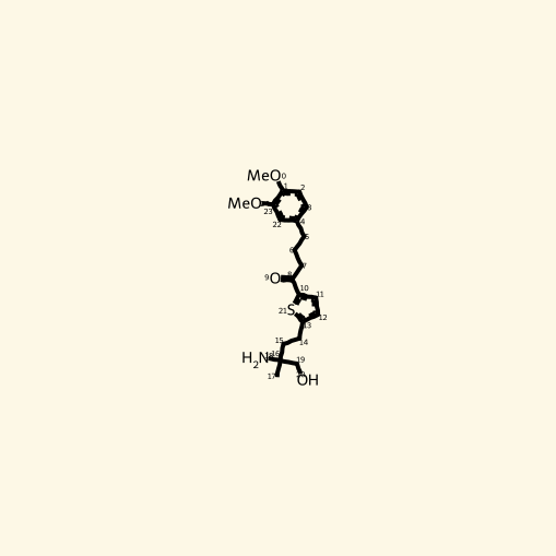 COc1ccc(CCCC(=O)c2ccc(CCC(C)(N)CO)s2)cc1OC